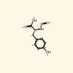 O=NN[C@@H](Cc1ccc(O)cc1)C(=O)O